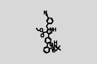 CCOC(=O)c1c(-c2ccc(-c3ccccc3S(=O)(=O)NC(C)(C)C)cc2)c[nH]c1Cc1cccc(C#N)c1